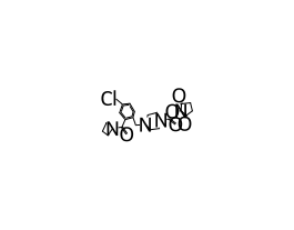 O=C(ON1C(=O)CCC1=O)N1CCN(Cc2ccc(Cl)cc2C(=O)N2CCC2)CC1